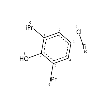 CC(C)c1cccc(C(C)C)c1O.[Cl][Ti]